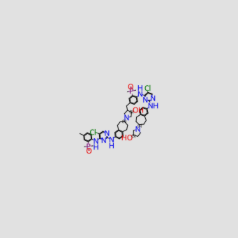 Cc1ccc(Nc2nc(Nc3ccc4c(c3)CC[C@H](N3CC(Cc5ccc(Nc6nc(Nc7ccc8c(c7)CC[C@@H](N7CC[C@H](O)C7)CC8)ncc6Cl)c(P(C)(C)=O)c5)[C@H](O)C3)CC4)ncc2Cl)c(P(C)(C)=O)c1